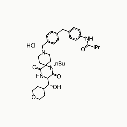 CCCCN1C(=O)[C@@H]([C@H](O)C2CCOCC2)NC(=O)C12CCN(Cc1ccc(Cc3ccc(NC(=O)C(C)C)cc3)cc1)CC2.Cl